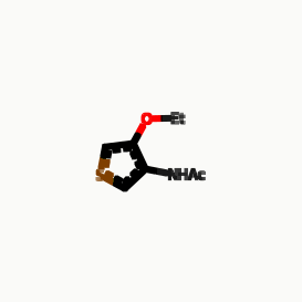 CCOc1cscc1NC(C)=O